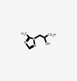 Cc1ncnn1CC(O)C(=O)O